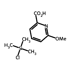 COc1cccc(C(=O)O)n1.C[Si](C)(C)Cl